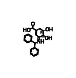 O=C(O)C1=C[C@H](NC(c2ccccc2)c2ccccc2)[C@@H](O)[C@@H](O)C1